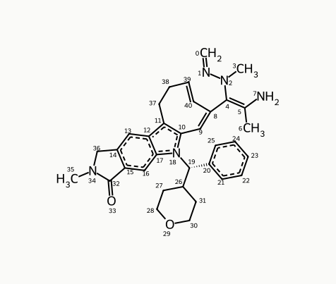 C=NN(C)C(=C(/C)N)/C1=C/c2c(c3cc4c(cc3n2[C@H](c2ccccc2)C2CCOCC2)C(=O)N(C)C4)CC\C=C\1